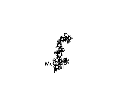 COC(=O)C1=C(CN2CCN3C(=O)N(c4ccc(Oc5ccc(C(=O)N6CCCC6(F)F)cc5)cc4)C[C@@H]3C2)NC(c2nccs2)=NC1c1ccc(F)cc1Cl